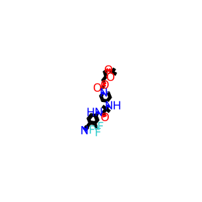 CC1(C)OCC(COC(=O)N2CCC(NC(C)(C)C(=O)Nc3ccc(C#N)c(C(F)(F)F)c3)CC2)O1